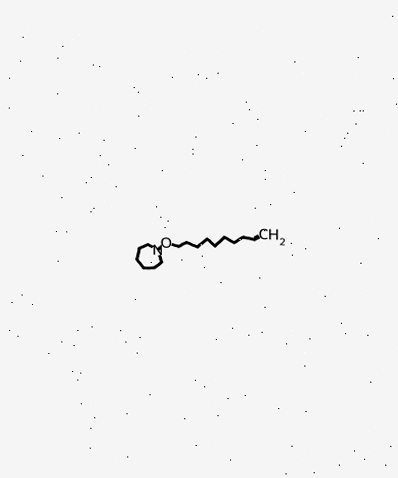 C=CCCCCCCCCON1CCCCCC1